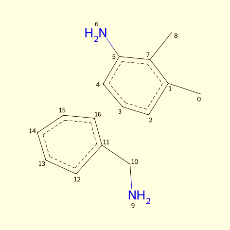 Cc1cccc(N)c1C.NCc1ccccc1